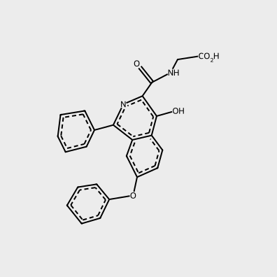 O=C(O)CNC(=O)c1nc(-c2ccccc2)c2cc(Oc3ccccc3)ccc2c1O